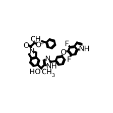 C[C@@H](OCc1ccccc1)C(=O)N1Cc2ccc(C(C)(O)c3cnc(-c4cccc(Oc5c(F)cc6[nH]ccc6c5F)c4)[nH]3)cc2C1